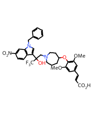 COc1cc(C=CC(=O)O)cc(OC)c1OC1CCCN(CC(O)(c2cn(Cc3ccccc3)c3cc([N+](=O)[O-])ccc23)C(F)(F)F)CC1